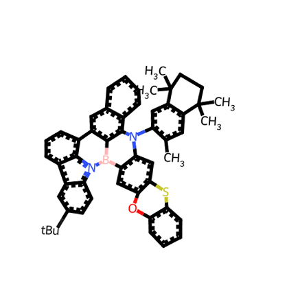 Cc1cc2c(cc1N1c3cc4c(cc3B3c5c(cc6ccccc6c51)-c1cccc5c6cc(C(C)(C)C)ccc6n3c15)Oc1ccccc1S4)C(C)(C)CCC2(C)C